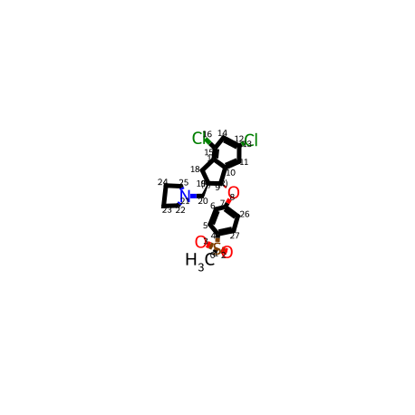 CS(=O)(=O)c1ccc(O[C@H]2c3cc(Cl)cc(Cl)c3C[C@@H]2CN2CCCC2)cc1